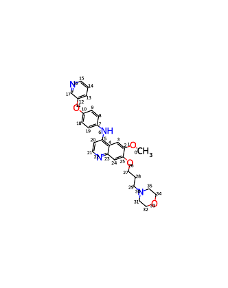 COc1cc2c(Nc3ccc(Oc4cccnc4)cc3)ccnc2cc1OCCCN1CCOCC1